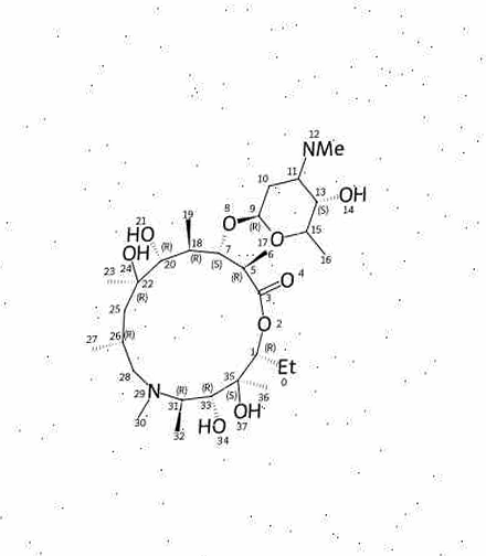 CC[C@H]1OC(=O)[C@H](C)[C@@H](O[C@H]2CC(NC)[C@H](O)C(C)O2)[C@H](C)[C@@H](O)[C@](C)(O)C[C@@H](C)CN(C)[C@H](C)[C@@H](O)[C@]1(C)O